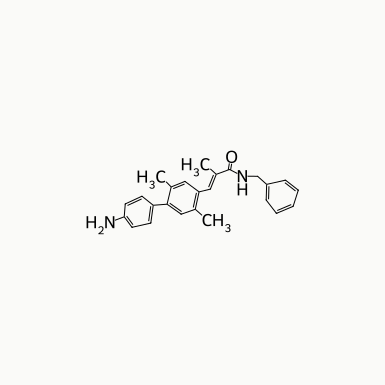 C/C(=C\c1cc(C)c(-c2ccc(N)cc2)cc1C)C(=O)NCc1ccccc1